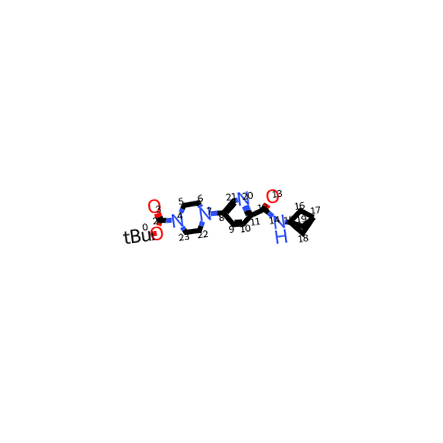 CC(C)(C)OC(=O)N1CCN(c2ccc(C(=O)NC34CC(C3)C4)nc2)CC1